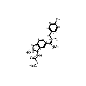 CNC(c1ccc2c(c1)C(NC(=O)OC(C)(C)C)[C@H](O)C2)=[N+](C)Cc1ccc(F)cc1